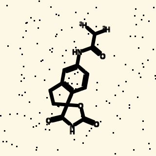 [2H]C([2H])C(=O)Nc1ccc2c(c1)CCC21OC(=O)NC1=O